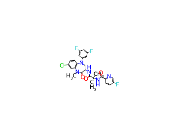 CN1C(=O)C(NC(=O)C(C)(C)NC(=O)c2ccc(F)cn2)CN(c2cc(F)cc(F)c2)c2ccc(Cl)cc21